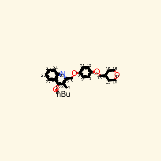 CCCCOc1c(C)c(COc2ccc(OCC3CCOCC3)cc2)nc2ccccc12